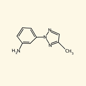 Cc1cnn(-c2cccc(N)c2)n1